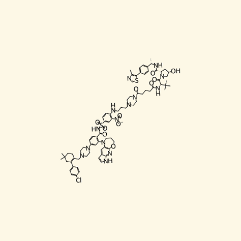 Cc1ncsc1-c1ccc([C@H](C)NC(=O)[C@@H]2C[C@@H](O)CN2C(=O)[C@@H](NC(=O)CCCC(=O)N2CCN(CCCNc3ccc(S(=O)(=O)NC(=O)c4ccc(N5CCN(CC6=C(c7ccc(Cl)cc7)CC(C)(C)CC6)CC5)cc4N4CCCOc5nc6[nH]ccc6cc54)cc3[N+](=O)[O-])CC2)C(C)(C)C)cc1